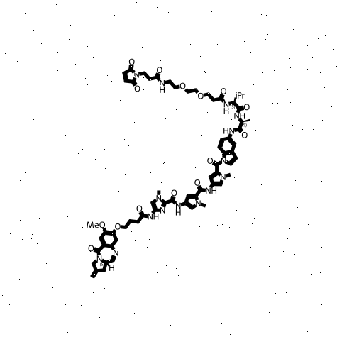 C=C1C[C@H]2C=NC3CC(OCCCC(=O)Nc4cn(C)c(C(=O)Nc5cc(C(=O)Nc6cc(C(=O)n7ccc8cc(NC(=O)[C@H](C)NC(=O)[C@@H](NC(=O)CCOCCOCCNC(=O)CCN9C(=O)C=CC9=O)C(C)C)ccc87)n(C)c6)n(C)c5)n4)=C(OC)C=C3C(=O)N2C1